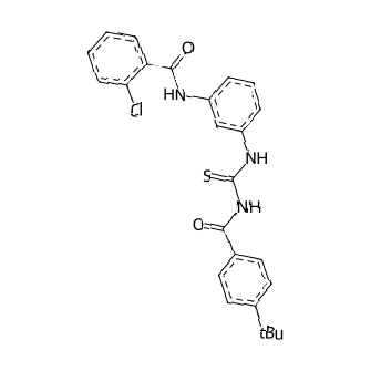 CC(C)(C)c1ccc(C(=O)NC(=S)Nc2cccc(NC(=O)c3ccccc3Cl)c2)cc1